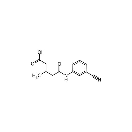 CC(CC(=O)O)CC(=O)Nc1cccc(C#N)c1